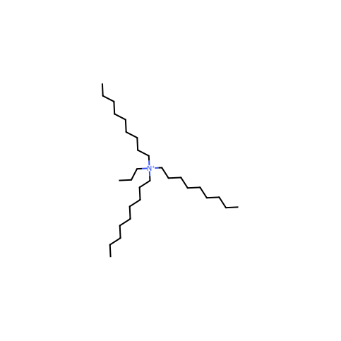 CCCCCCCCC[N+](CCC)(CCCCCCCCC)CCCCCCCCC